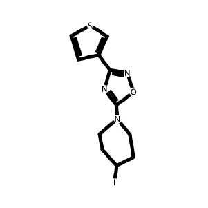 IC1CCN(c2nc(-c3ccsc3)no2)CC1